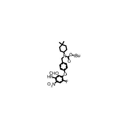 CC1(C)CCC(N(Cc2ccc(Oc3cc(NC=O)c([N+](=O)[O-])cc3F)cc2)C(=O)OC(C)(C)C)CC1